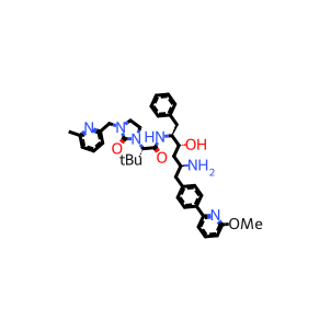 COc1cccc(-c2ccc(C[C@H](N)C[C@@H](O)[C@H](Cc3ccccc3)NC(=O)[C@@H](N3CCN(Cc4cccc(C)n4)C3=O)C(C)(C)C)cc2)n1